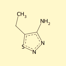 CCc1snnc1N